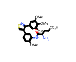 COc1ccc(-c2csnc2-c2cc(OC)c(OC)c(OC)c2)cc1NC(=O)[C@H](N)CCC(=O)O